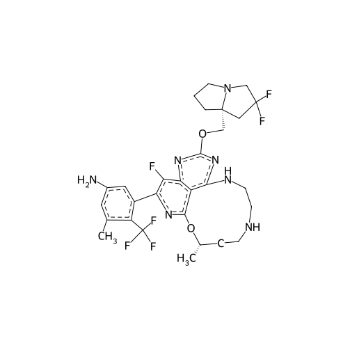 Cc1cc(N)cc(-c2nc3c4c(nc(OC[C@]56CCCN5CC(F)(F)C6)nc4c2F)NCCNCC[C@H](C)O3)c1C(F)(F)F